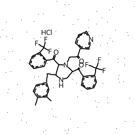 Cc1ccc(CC2NCC(C(=O)c3ccccc3C(F)(F)F)N(CC(=O)c3cccnc3)C2C(=O)c2ccccc2C(F)(F)F)cc1C.Cl